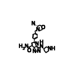 N#C[C@@H]1COCCN1Cc1ccc(-c2cc(C(N)=O)c3ncnc(N[C@H]4CCCNC4)c3n2)cc1